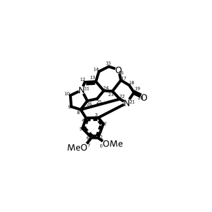 COc1cc2c(cc1OC)C13CCN4C=C5CCOC6CC(=O)N2C1C6C5CC43